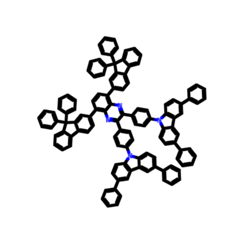 c1ccc(-c2ccc3c(c2)c2cc(-c4ccccc4)ccc2n3-c2ccc(-c3nc4c(-c5ccc6c(c5)C(c5ccccc5)(c5ccccc5)c5ccccc5-6)ccc(-c5ccc6c(c5)C(c5ccccc5)(c5ccccc5)c5ccccc5-6)c4nc3-c3ccc(-n4c5ccc(-c6ccccc6)cc5c5cc(-c6ccccc6)ccc54)cc3)cc2)cc1